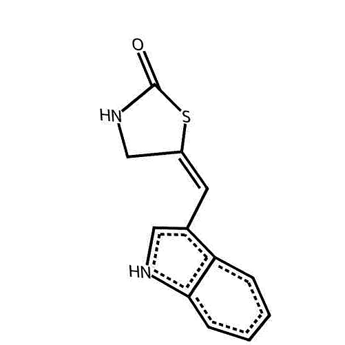 O=C1NCC(=Cc2c[nH]c3ccccc23)S1